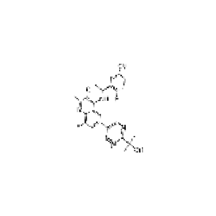 Cc1nc2c(F)cc(-c3cnc(C(C)(C)O)nc3)cc2c(NC(C)c2cc(C#N)ccc2F)c1Cl